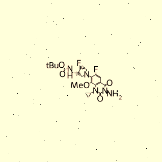 COc1c(N2C[C@H](CNC(=O)OC(C)(C)C)[C@@H](F)C2)c(F)cc2c(=O)n(N)c(=O)n(C3CC3)c12